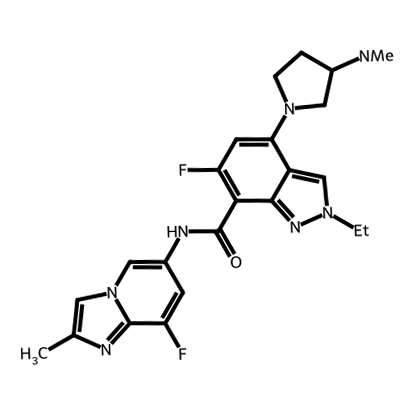 CCn1cc2c(N3CCC(NC)C3)cc(F)c(C(=O)Nc3cc(F)c4nc(C)cn4c3)c2n1